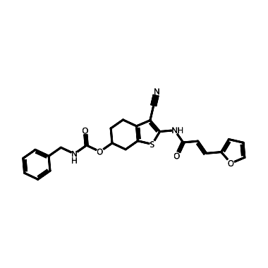 N#Cc1c(NC(=O)C=Cc2ccco2)sc2c1CCC(OC(=O)NCc1ccccc1)C2